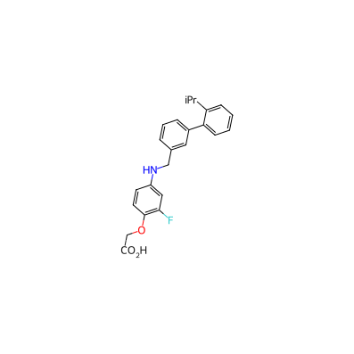 CC(C)c1ccccc1-c1cccc(CNc2ccc(OCC(=O)O)c(F)c2)c1